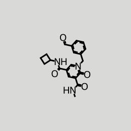 CNC(=O)c1cc(C(=O)NC2CCC2)cn(Cc2cccc(C=O)c2)c1=O